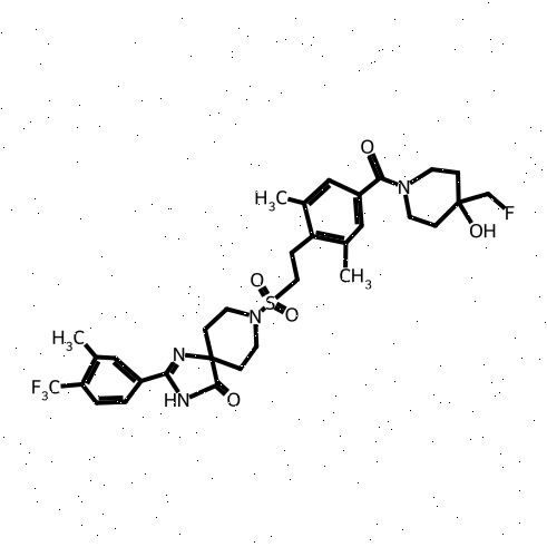 Cc1cc(C2=NC3(CCN(S(=O)(=O)CCc4c(C)cc(C(=O)N5CCC(O)(CF)CC5)cc4C)CC3)C(=O)N2)ccc1C(F)(F)F